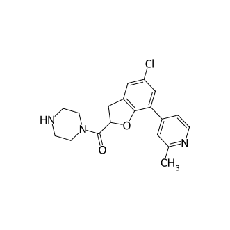 Cc1cc(-c2cc(Cl)cc3c2OC(C(=O)N2CCNCC2)C3)ccn1